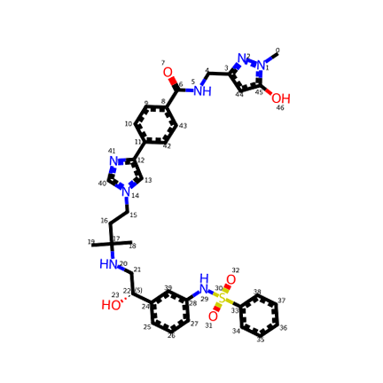 Cn1nc(CNC(=O)c2ccc(-c3cn(CCC(C)(C)NC[C@@H](O)c4cccc(NS(=O)(=O)c5ccccc5)c4)cn3)cc2)cc1O